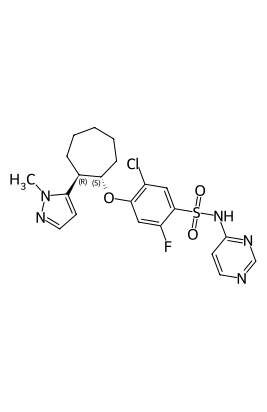 Cn1nccc1[C@H]1CCCCC[C@@H]1Oc1cc(F)c(S(=O)(=O)Nc2ccncn2)cc1Cl